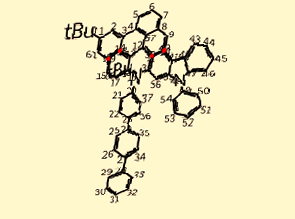 CC(C)(C)c1cc(-c2cccc3cccc(-c4ccccc4N(c4ccc(-c5ccc(-c6ccccc6)cc5)cc4)c4ccc5c6ccccc6n(-c6ccccc6)c5c4)c23)cc(C(C)(C)C)c1